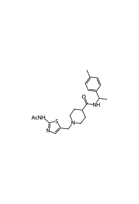 CC(=O)Nc1ncc(CN2CCC(C(=O)NC(C)c3ccc(C)cc3)CC2)s1